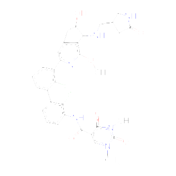 COc1nc(-c2cccc(-c3cccc(NC(=O)c4cn(C)c(=O)n(C)c4=O)c3Cl)c2Cl)cc2c1C(NCC1CNC(=O)C1)C(O)C2